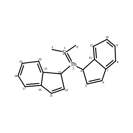 C[Si](C)=[Th]([CH]1C=Cc2ccccc21)[CH]1C=Cc2ccccc21